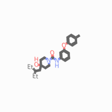 CCC(CC)CC1(O)CCN(C(=O)Nc2cccc(Oc3ccc(C)cc3)c2)CC1